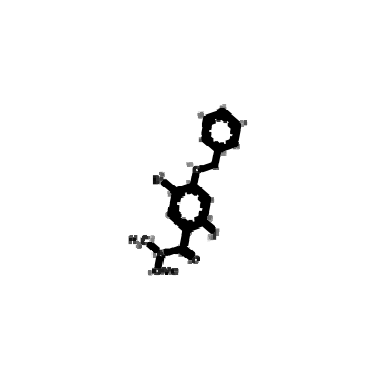 CON(C)C(=O)c1cc(Br)c(OCc2ccccc2)cc1F